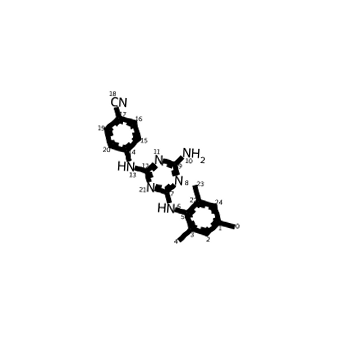 Cc1cc(C)c(Nc2nc(N)nc(Nc3ccc(C#N)cc3)n2)c(C)c1